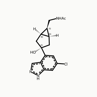 CC(=O)NC[C@H]1[C@H]2C[C@@](O)(c3cc(Cl)cc4[nH]ncc34)C[C@@H]12